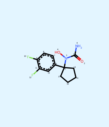 NC(=O)N(O)C1(c2ccc(F)c(F)c2)CCCC1